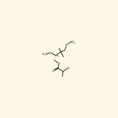 CC(Cl)C(=O)OC[C@H](O[N+](=O)[O-])C(C)(C)CO[N+](=O)[O-]